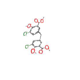 COC(=O)c1cc(Cc2cc(Cl)c(OC)c(C(=O)OC)c2)cc(Cl)c1OC